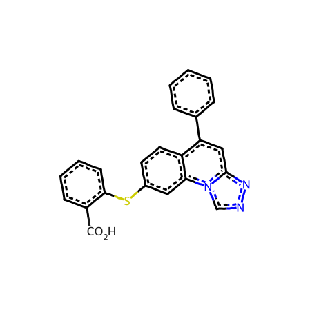 O=C(O)c1ccccc1Sc1ccc2c(-c3ccccc3)cc3nncn3c2c1